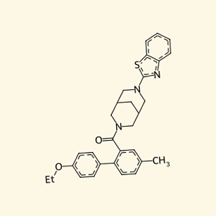 CCOc1ccc(-c2ccc(C)cc2C(=O)N2CC3CC(C2)CN(c2nc4ccccc4s2)C3)cc1